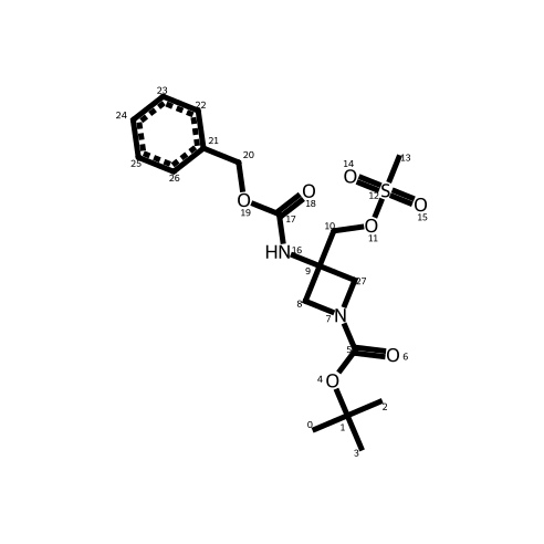 CC(C)(C)OC(=O)N1CC(COS(C)(=O)=O)(NC(=O)OCc2ccccc2)C1